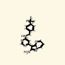 Nc1nn2cccnc2c1-c1cc(NCc2ccc(C(F)(F)F)cc2)ncn1